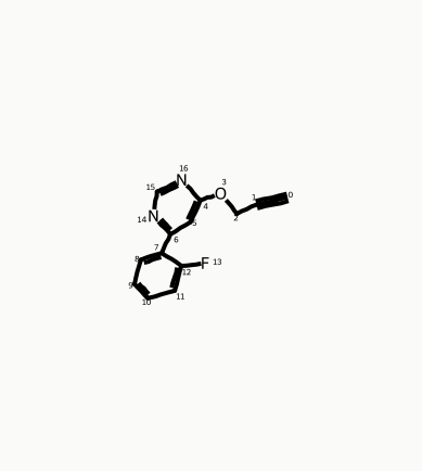 C#CCOc1cc(-c2ccccc2F)ncn1